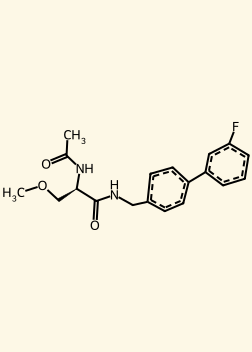 COC[C@@H](NC(C)=O)C(=O)NCc1ccc(-c2cccc(F)c2)cc1